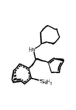 [SiH3]c1ccccc1C(NC1CCCCC1)C1=CC=CC1